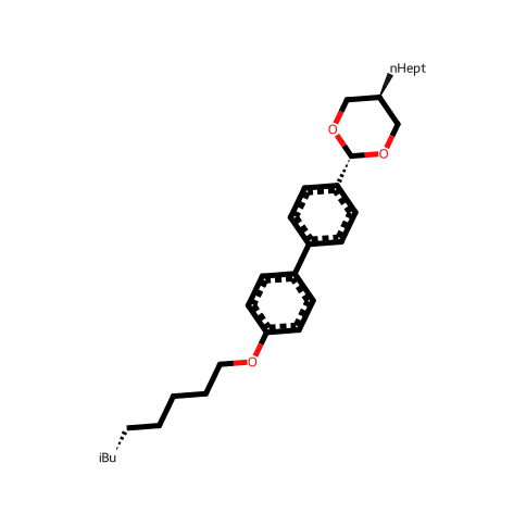 CCCCCCC[C@H]1CO[C@H](c2ccc(-c3ccc(OCCCCC[C@@H](C)CC)cc3)cc2)OC1